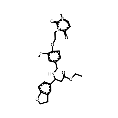 CCOC(=O)CC(NCc1ccc(OCCn2c(=O)ccn(C)c2=O)c(OC)c1)c1ccc2c(c1)CCO2